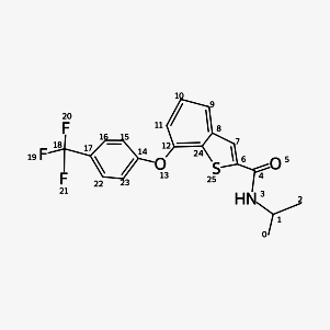 CC(C)NC(=O)c1cc2cccc(Oc3ccc(C(F)(F)F)cc3)c2s1